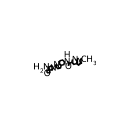 CCn1ccc2cc(C(=O)N[C@H]3CCc4nc(N5C[C@H](N)C6(COC6)C5)ccc4C3)cnc21